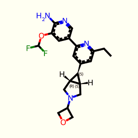 CCc1cc([C@H]2[C@@H]3CN(C4COC4)C[C@@H]32)cc(-c2cnc(N)c(OC(F)F)c2)n1